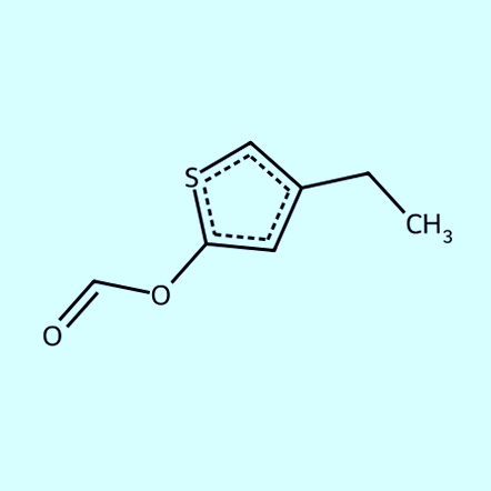 CCc1csc(OC=O)c1